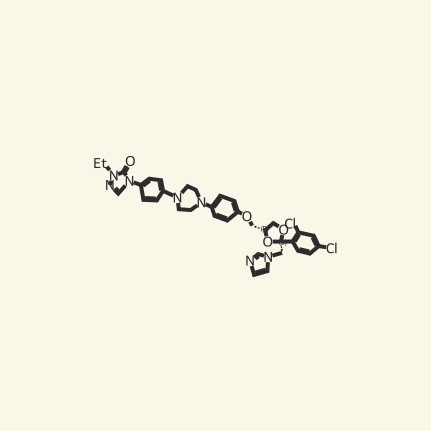 CCn1ncn(-c2ccc(N3CCN(c4ccc(OC[C@@H]5CO[C@@](Cn6ccnc6)(c6ccc(Cl)cc6Cl)O5)cc4)CC3)cc2)c1=O